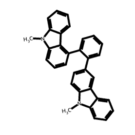 Cn1c2ccccc2c2cc(-c3ccccc3-c3cccc4c3c3ccccc3n4C)ccc21